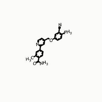 Cc1cc(-c2cc(COc3ccc(P)c(C#N)c3)ccn2)ccc1C(N)=O